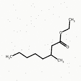 CCCCCC(C)CC(=O)OCC